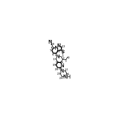 CCC1CN(c2ccc(C#N)n3ncc(F)c23)Cc2ccc(N3CCNCC3)nc21